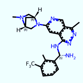 Cc1c([C@@H](N)Nc2nnc(C)c3cnc(N4C[C@H]5C[C@@H]4CN5C)cc23)cccc1C(F)(F)F